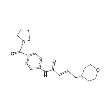 O=C(/C=C/CN1CCOCC1)Nc1ccc(C(=O)N2CCCC2)nc1